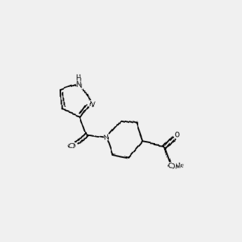 COC(=O)C1CCN(C(=O)c2cc[nH]n2)CC1